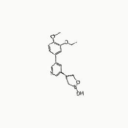 CCOc1cc(-c2cncc([C@H]3COB(O)C3)c2)ccc1OC